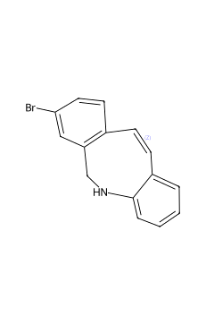 Brc1ccc2c(c1)CNc1ccccc1/C=C\2